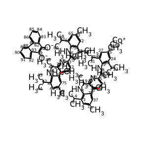 Cc1cc(C(C)C)c(NC(C)c2cccc(C(C)Nc3c(C(C)C)cc(C)cc3C(C)C)n2)c(C(C)C)c1.Cc1cc(C(C)C)c(NC(C)c2cccc(C(C)Nc3c(C(C)C)cc(C)cc3C(C)C)n2)c(C(C)C)c1.[Co+].[Co+].[O-]c1c([O-])c2ccccc2c2ccccc12